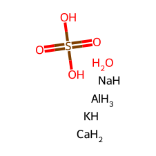 O.O=S(=O)(O)O.[AlH3].[CaH2].[KH].[NaH]